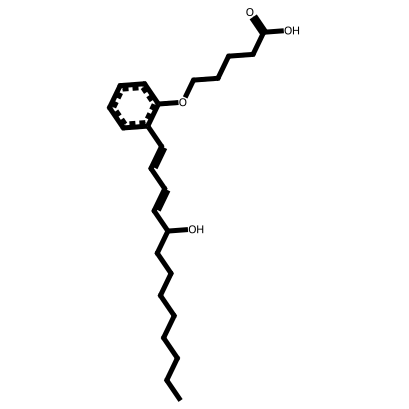 CCCCCCCCC(O)/C=C/C=C/c1ccccc1OCCCCC(=O)O